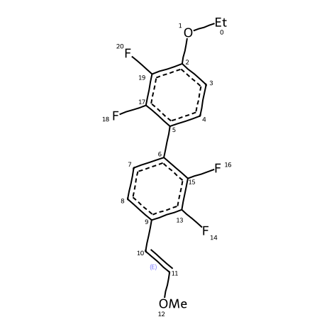 CCOc1ccc(-c2ccc(/C=C/OC)c(F)c2F)c(F)c1F